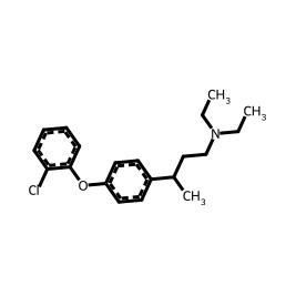 CCN(CC)CCC(C)c1ccc(Oc2ccccc2Cl)cc1